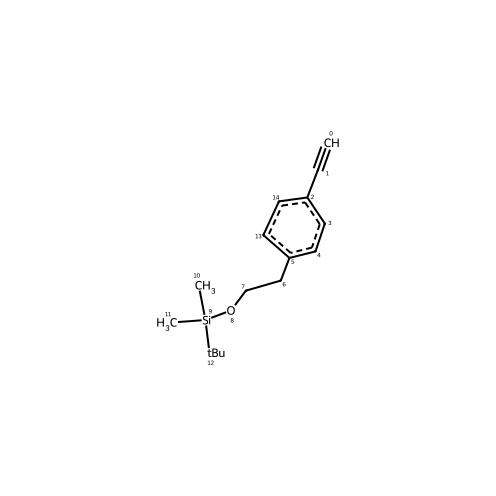 C#Cc1ccc(CCO[Si](C)(C)C(C)(C)C)cc1